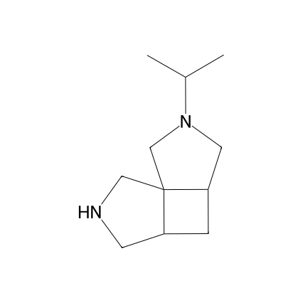 CC(C)N1CC2CC3CNCC32C1